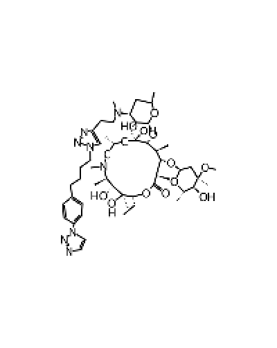 CC[C@H]1OC(=O)[C@H](C)[C@@H](O[C@H]2C[C@@](C)(OC)[C@@H](O)[C@H](C)O2)[C@H](C)[C@@H](O[C@@H]2O[C@H](C)C[C@H](N(C)CCc3cn(CCCCc4ccc(-n5ccnn5)cc4)nn3)[C@H]2O)[C@](C)(O)C[C@@H](C)CN(C)[C@H](C)[C@@H](O)[C@]1(C)O